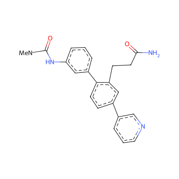 CNC(=O)Nc1cccc(-c2ccc(-c3cccnc3)cc2CCC(N)=O)c1